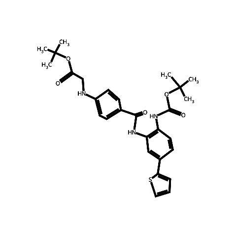 CC(C)(C)OC(=O)CNc1ccc(C(=O)Nc2cc(-c3cccs3)ccc2NC(=O)OC(C)(C)C)cc1